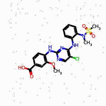 COc1cc(C(=O)O)ccc1Nc1ncc(Cl)c(Nc2ccccc2N(C)S(C)(=O)=O)n1